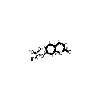 CC(C)S(=O)(=O)Oc1ccc2ccc(=O)oc2c1